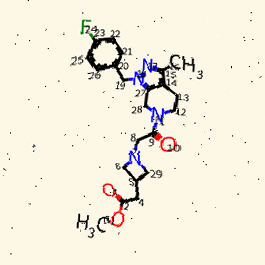 COC(=O)CC1CN(CC(=O)N2CCc3c(C)nn(Cc4ccc(F)cc4)c3C2)C1